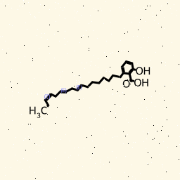 CC/C=C\C/C=C/C/C=C/CCCCCCCc1cccc(O)c1C(=O)O